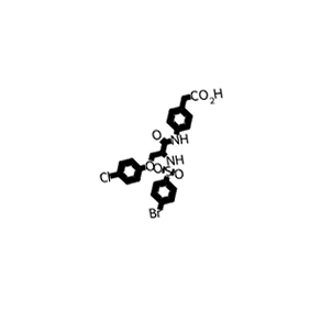 O=C(O)Cc1ccc(NC(=O)C(COc2ccc(Cl)cc2)NS(=O)(=O)c2ccc(Br)cc2)cc1